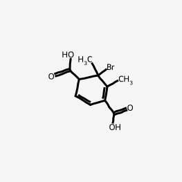 CC1=C(C(=O)O)C=CC(C(=O)O)C1(C)Br